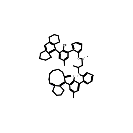 C=C1CCCCC/C=C2/CCCC/C2=C/1c1cc(C)cc(-c2ccccc2OC(C)C[C@@H](C)Oc2ccccc2-c2cc(C)cc(-c3c4c(cc5c3CCCC5)CCCC4)c2O)c1O